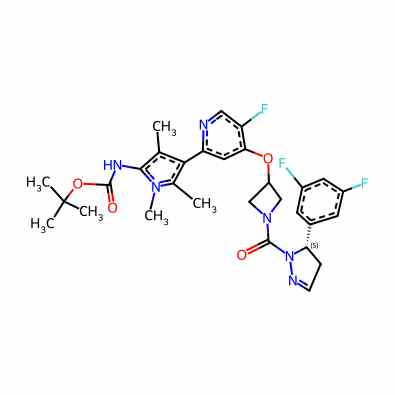 Cc1c(-c2cc(OC3CN(C(=O)N4N=CC[C@H]4c4cc(F)cc(F)c4)C3)c(F)cn2)c(C)n(C)c1NC(=O)OC(C)(C)C